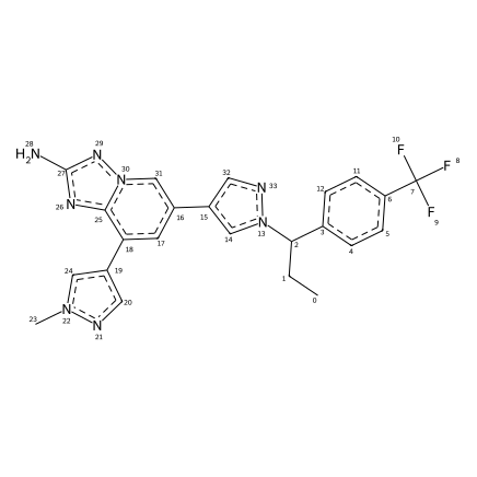 CCC(c1ccc(C(F)(F)F)cc1)n1cc(-c2cc(-c3cnn(C)c3)c3nc(N)nn3c2)cn1